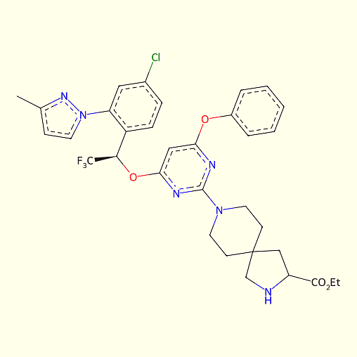 CCOC(=O)C1CC2(CCN(c3nc(Oc4ccccc4)cc(O[C@H](c4ccc(Cl)cc4-n4ccc(C)n4)C(F)(F)F)n3)CC2)CN1